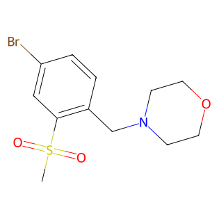 CS(=O)(=O)c1cc(Br)ccc1CN1CCOCC1